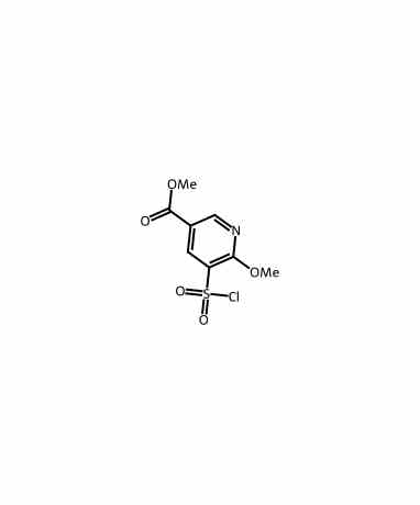 COC(=O)c1cnc(OC)c(S(=O)(=O)Cl)c1